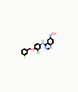 ON=C1C=Cc2ncnc(Nc3ccc(OCc4cccc(F)c4)c(Cl)c3)c2C1